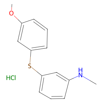 CNc1cccc(Sc2cccc(OC)c2)c1.Cl